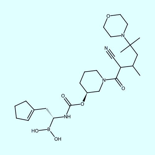 CC(CC(C)(C)N1CCOCC1)C(C#N)C(=O)N1CCC[C@H](OC(=O)N[C@@H](CC2=CCCC2)B(O)O)C1